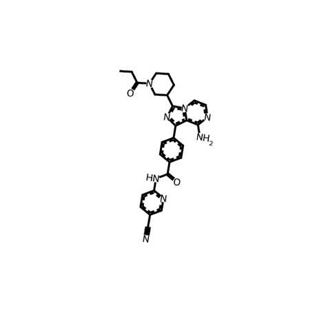 CCC(=O)N1CCCC(c2nc(-c3ccc(C(=O)Nc4ccc(C#N)cn4)cc3)c3c(N)nccn23)C1